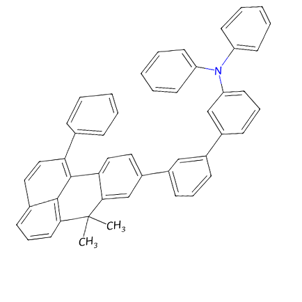 CC1(C)c2cc(-c3cccc(-c4cccc(N(c5ccccc5)c5ccccc5)c4)c3)ccc2-c2c(-c3ccccc3)ccc3cccc1c23